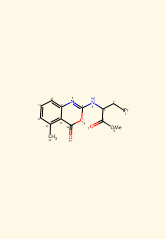 COC(=O)C(CC(C)C)Nc1nc2cccc(C)c2c(=O)o1